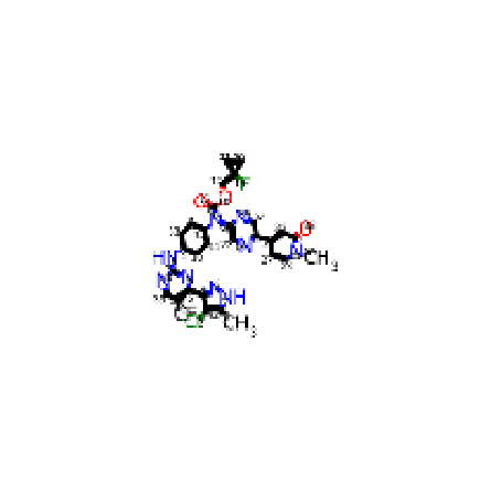 Cc1[nH]nc(-c2nc(N[C@H]3CC[C@H](N(C(=O)OCC4(F)CC4)c4cnc(-c5ccn(C)c(=O)c5)cn4)CC3)ncc2C(F)(F)F)c1Cl